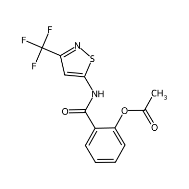 CC(=O)Oc1ccccc1C(=O)Nc1cc(C(F)(F)F)ns1